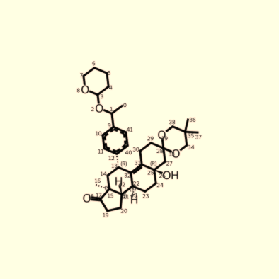 CC(OC1CCCCO1)c1ccc([C@H]2C[C@]3(C)C(=O)CC[C@H]3[C@@H]3CC[C@@]4(O)CC5(CCC4=C32)OCC(C)(C)CO5)cc1